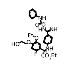 CCOC(=O)[C@H](Nc1ccc(C(=N)NOC(=O)Nc2ccccc2)cc1)c1cc(OCC)c(OCCO)cc1F